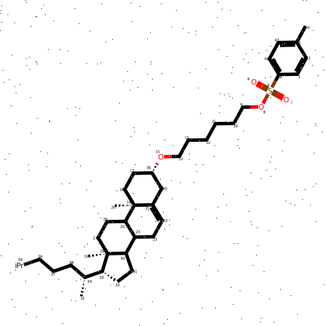 Cc1ccc(S(=O)(=O)OCCCCCCO[C@H]2CC[C@@]3(C)C(=CCC4C3CC[C@@]3(C)C4CC[C@@H]3[C@H](C)CCCC(C)C)C2)cc1